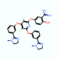 CN1CCN=C1c1cccc(Oc2nc(Oc3ccc(O)c(C(=N)N)c3)c(F)c(Oc3cccc(C4=NCCN4C)c3)c2F)c1